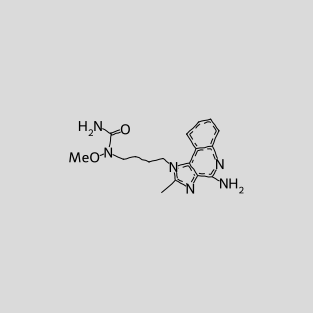 CON(CCCCn1c(C)nc2c(N)nc3ccccc3c21)C(N)=O